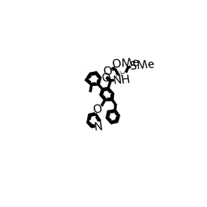 COC(=O)[C@H](CCSC)NC(=O)c1cc(Cc2ccccc2)c(COc2cccnc2)cc1-c1ccccc1C